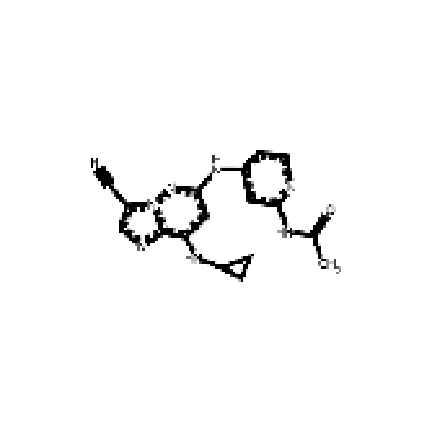 CC(=O)Nc1cc(Nc2cc(NC3CC3)c3ncc(C#N)n3n2)ccn1